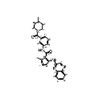 Cc1nsc(Nc2cnc3ccccc3n2)c1C(=O)Nc1cccc(C(=O)N2CCNCC2)c1